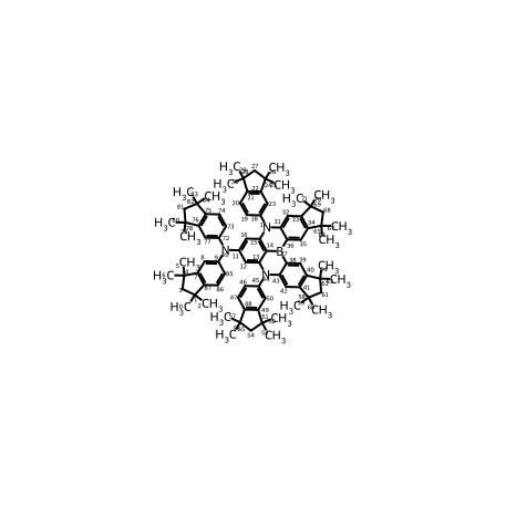 CC1(C)CC(C)(C)c2cc(N(c3cc4c5c(c3)N(c3ccc6c(c3)C(C)(C)CC6(C)C)c3cc6c(cc3B5c3cc5c(cc3N4c3ccc4c(c3)C(C)(C)CC4(C)C)C(C)(C)CC5(C)C)C(C)(C)CC6(C)C)c3ccc4c(c3)C(C)(C)CC4(C)C)ccc21